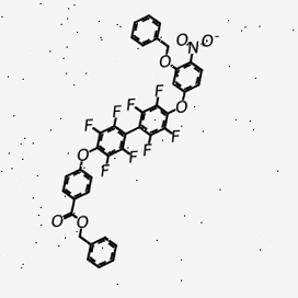 O=C(OCc1ccccc1)c1ccc(Oc2c(F)c(F)c(-c3c(F)c(F)c(Oc4ccc([N+](=O)[O-])c(OCc5ccccc5)c4)c(F)c3F)c(F)c2F)cc1